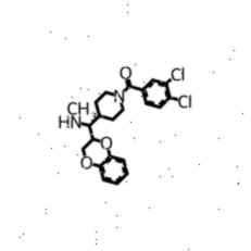 CNC(C1CCN(C(=O)c2ccc(Cl)c(Cl)c2)CC1)C1COc2ccccc2O1